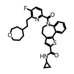 O=C(NC1CC1)c1cc2c(s1)-c1ccccc1N(C(=O)c1ccc(F)c(CCC3CCCOCC3)n1)CC2